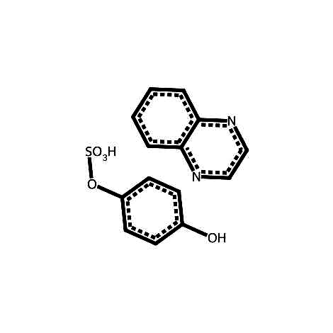 O=S(=O)(O)Oc1ccc(O)cc1.c1ccc2nccnc2c1